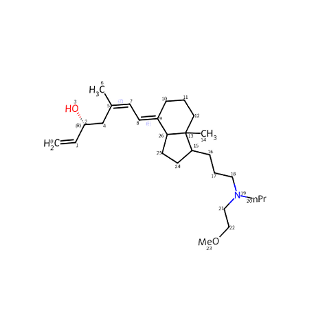 C=C[C@H](O)C/C(C)=C\C=C1/CCCC2(C)C(CCCN(CCC)CCOC)CCC12